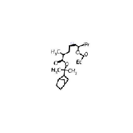 CCC(=O)OC(/C=C\CC(C)C(=O)OC(C)(C)C1CC2CCC1C2)C(C)C